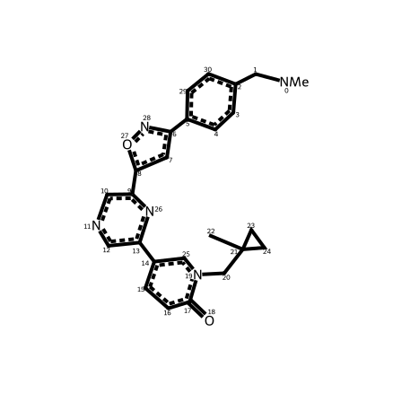 CNCc1ccc(-c2cc(-c3cncc(-c4ccc(=O)n(CC5(C)CC5)c4)n3)on2)cc1